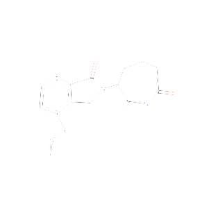 O=C(O)NCc1cccc2c1CN(C1CCCC(=O)NC1=O)C2=O